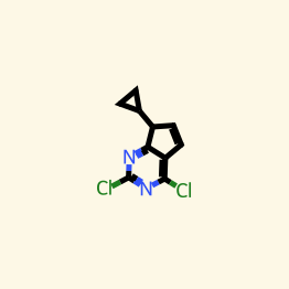 Clc1nc(Cl)c2c(n1)C(C1CC1)C=C2